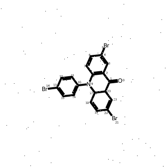 O=C1c2cc(Br)ccc2N(c2ccc(Br)cc2)C2C=CC(Br)=CC12